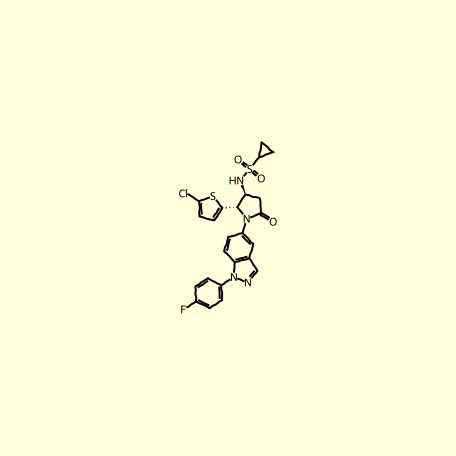 O=C1C[C@H](NS(=O)(=O)C2CC2)[C@@H](c2ccc(Cl)s2)N1c1ccc2c(cnn2-c2ccc(F)cc2)c1